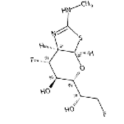 CNC1=N[C@@H]2[C@@H](F)[C@H](O)[C@@H]([C@@H](O)CF)O[C@@H]2S1